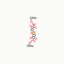 COCCOCCC(=O)C1C(=O)c2ccc(S(=O)(=O)c3ccc4c(c3)C(=O)C(C(=O)CCOCCOC)C4=O)cc2C1=O